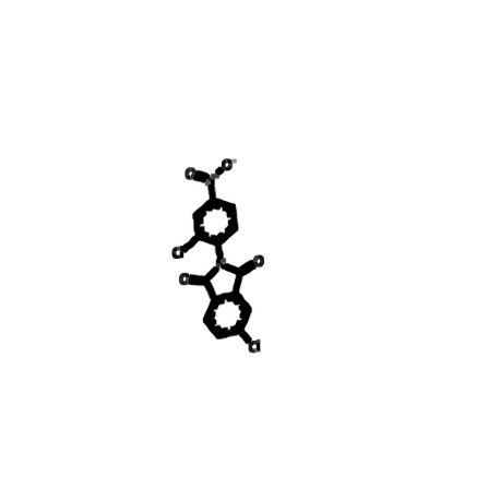 O=C1c2ccc(Cl)cc2C(=O)N1c1ccc([N+](=O)[O-])cc1Cl